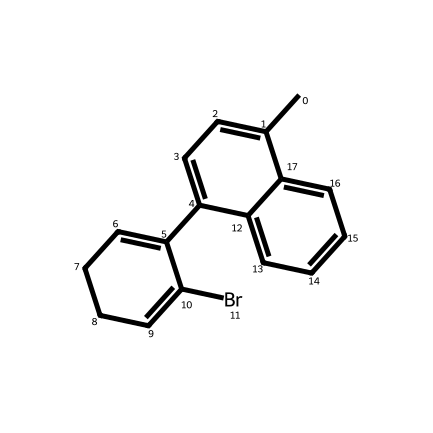 Cc1ccc(C2=CCCC=C2Br)c2ccccc12